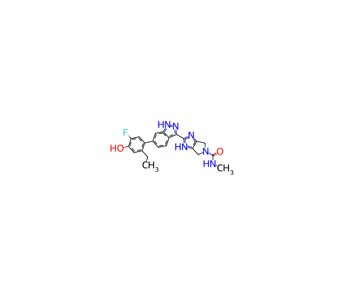 CCc1cc(O)c(F)cc1-c1ccc2c(-c3nc4c([nH]3)CN(C(=O)NC)C4)n[nH]c2c1